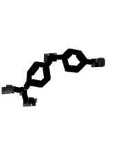 CCCN(CCC)c1ccc(Nc2ccc(N=O)cc2)cc1